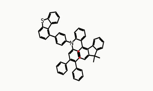 CC1(C)c2ccccc2-c2c(-c3ccccc3N(c3ccc(-c4cccc5sc6ccccc6c45)cc3)c3ccc(-c4ccccc4)c(-c4ccccc4)c3)cccc21